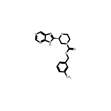 Cc1cccc(COC(=O)N2CCO[C@H](c3nc4cncnc4[nH]3)C2)c1